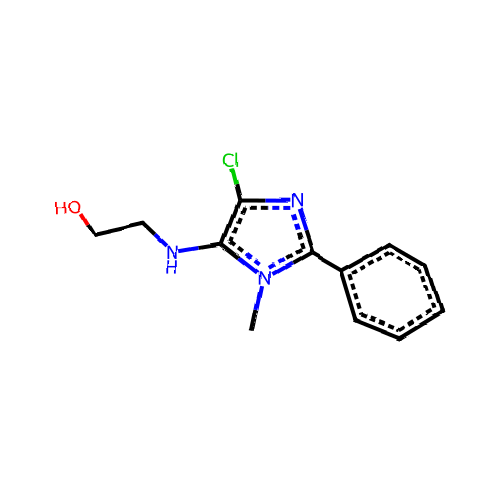 Cn1c(-c2ccccc2)nc(Cl)c1NCCO